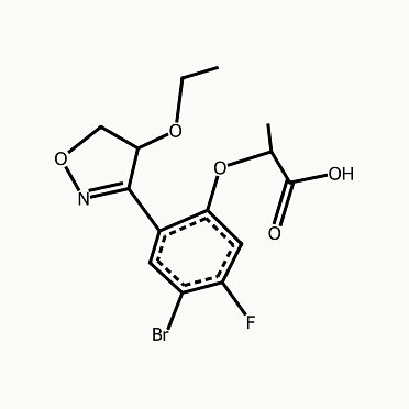 CCOC1CON=C1c1cc(Br)c(F)cc1OC(C)C(=O)O